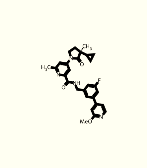 COc1cc(-c2cc(F)cc(CNC(=O)c3cc(N4CC[C@@](C)(C5CC5)C4=O)cc(C)n3)c2)ccn1